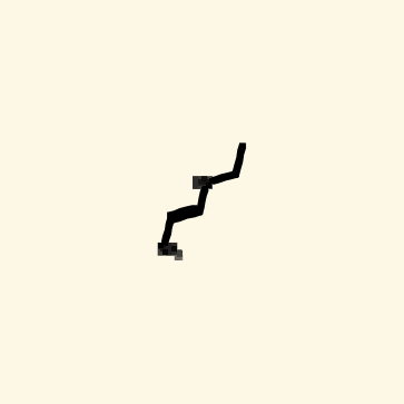 CCNC=CN